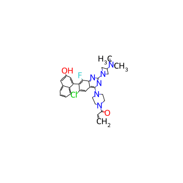 C=CC(=O)N1CCN(c2nc(N3CC(N(C)C)C3)nc3c(F)c(-c4cc(O)cc5ccccc45)c(Cl)cc23)CC1